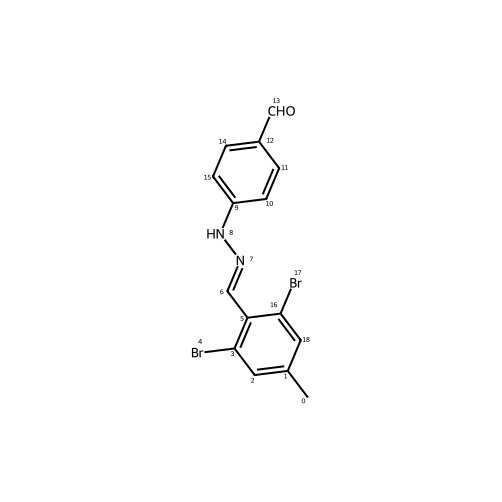 Cc1cc(Br)c(/C=N/Nc2ccc(C=O)cc2)c(Br)c1